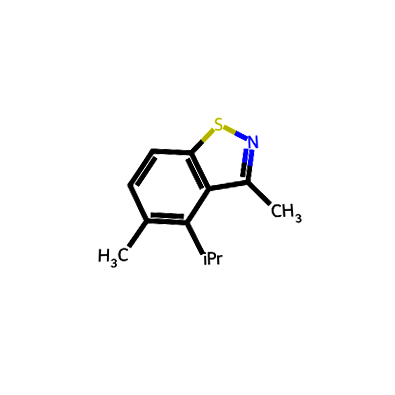 Cc1ccc2snc(C)c2c1C(C)C